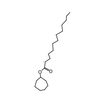 CCCCCCCCCCC[CH]C(=O)OC1CCCCCC1